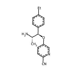 CCc1ccc([C@@H](Oc2ccc(C#N)nc2)[C@H](C)N)cc1